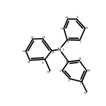 Cc1ccc(N(c2ccccc2)c2ccccc2C)cc1